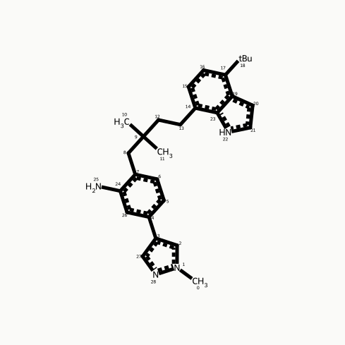 Cn1cc(-c2ccc(CC(C)(C)CCc3ccc(C(C)(C)C)c4cc[nH]c34)c(N)c2)cn1